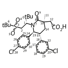 CC(C)(C)[C@@H](CS(=O)(=O)C(C)(C)C)N1C(=O)[C@@](C)(CC(=O)O)C[C@H](c2cccc(Cl)c2)[C@H]1c1ccc(Cl)cc1